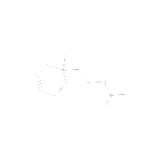 CCC(=O)NCCC1(C)C=CC=NN1